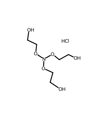 Cl.OCCON(OCCO)OCCO